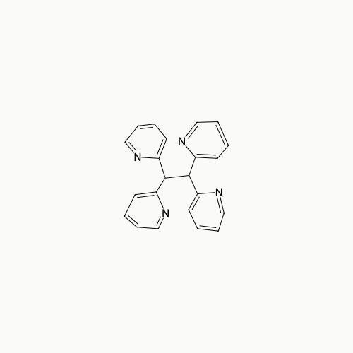 c1ccc(C(c2ccccn2)C(c2ccccn2)c2ccccn2)nc1